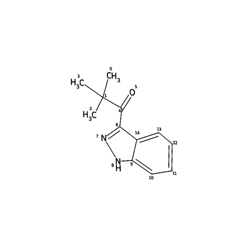 CC(C)(C)C(=O)c1n[nH]c2ccccc12